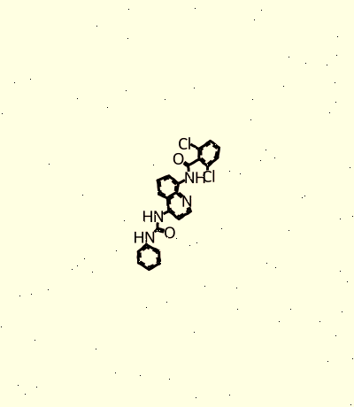 O=C(Nc1ccccc1)Nc1ccnc2c(NC(=O)c3c(Cl)cccc3Cl)cccc12